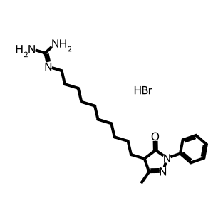 Br.CC1=NN(c2ccccc2)C(=O)C1CCCCCCCCCCN=C(N)N